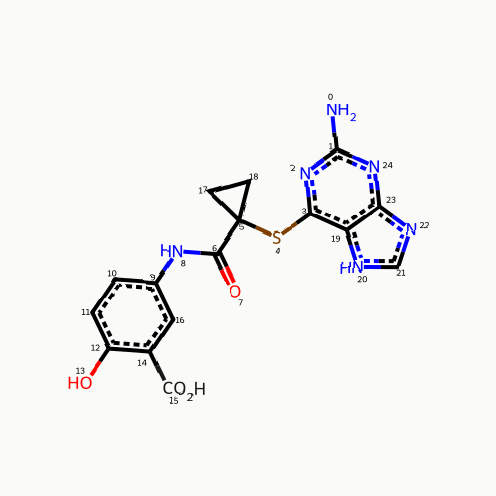 Nc1nc(SC2(C(=O)Nc3ccc(O)c(C(=O)O)c3)CC2)c2[nH]cnc2n1